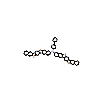 c1ccc(-c2ccc(N(c3ccc4cc5c(cc4c3)sc3cc4c(cc35)sc3cc5ccccc5cc34)c3ccc4cc5c(cc4c3)sc3cc4c(cc35)sc3cc5ccccc5cc34)cc2)cc1